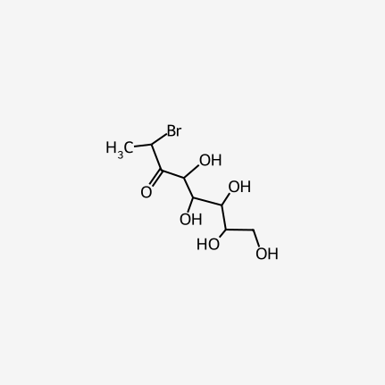 CC(Br)C(=O)C(O)C(O)C(O)C(O)CO